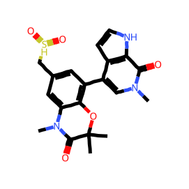 CN1C(=O)C(C)(C)Oc2c(-c3cn(C)c(=O)c4[nH]ccc34)cc(C[SH](=O)=O)cc21